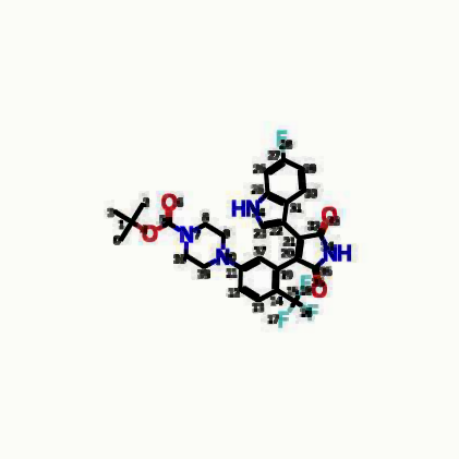 CC(C)(C)OC(=O)N1CCN(c2ccc(C(F)(F)F)c(C3=C(c4c[nH]c5cc(F)ccc45)C(=O)NC3=O)c2)CC1